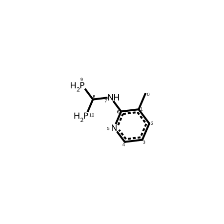 Cc1cccnc1NC(P)P